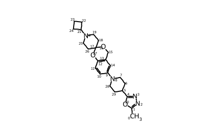 Cc1nnc(C2CCN(c3ccc4c(c3)COC3(CCN(C5CCC5)CC3)O4)CC2)o1